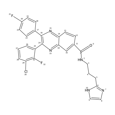 O=C(NCCCc1ncc[nH]1)c1ccc2nc(-c3ccc(F)cc3)c(-c3cccc(Cl)c3F)nc2c1